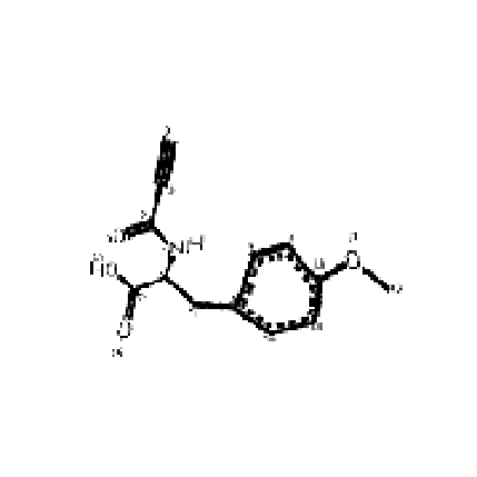 C#CC(=O)NC(Cc1ccc(OC)cc1)C(=O)O